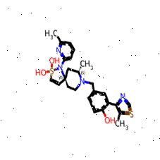 Cc1cccc(N2[C@]3(C=CS2(O)O)CCN(Cc2ccc(O)c(-c4ncsc4C)c2)[C@@H](C)C3)n1